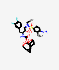 COc1cc(S(=O)(=O)N(CC(C)C)C[C@@H](O)[C@H](Cc2ccc(F)c(F)c2)NC(=O)OC2C3CC4C(OCC5C4C52)O3)ccc1N